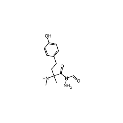 CNC(C)(CCc1ccc(O)cc1)C(=O)N(N)C=O